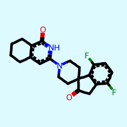 O=C1Cc2c(F)ccc(F)c2C12CCN(c1cc3c(c(=O)[nH]1)CCCC3)CC2